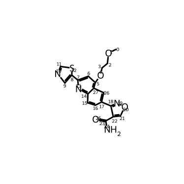 COCCOc1cc(-c2cncs2)nc2ccc(-c3nocc3C(N)=O)cc12